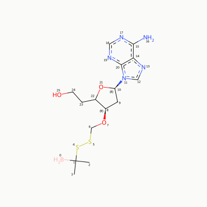 BC(C)(C)SSCO[C@@H]1C[C@H](n2cnc3c(N)ncnc32)OC1CCO